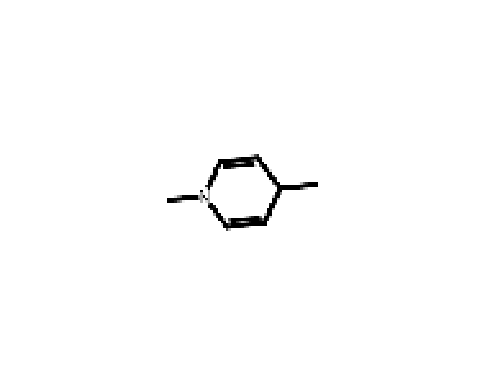 CC1C=CN(C)C=C1